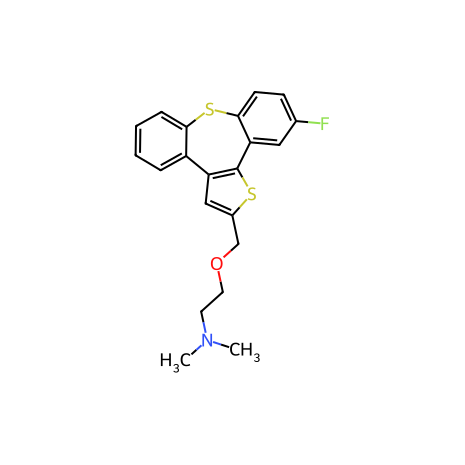 CN(C)CCOCc1cc2c(s1)-c1cc(F)ccc1Sc1ccccc1-2